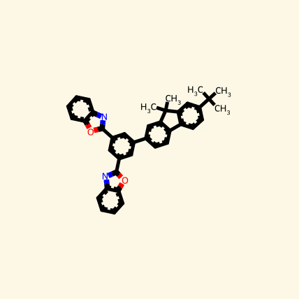 CC(C)(C)c1ccc2c(c1)C(C)(C)c1cc(-c3cc(-c4nc5ccccc5o4)cc(-c4nc5ccccc5o4)c3)ccc1-2